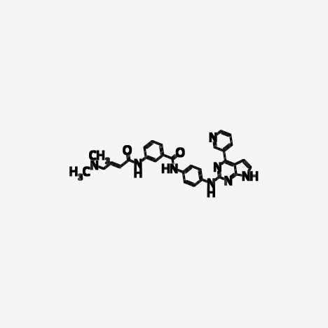 CN(C)C/C=C/C(=O)Nc1cccc(C(=O)Nc2ccc(Nc3nc(-c4cccnc4)c4cc[nH]c4n3)cc2)c1